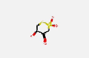 O=C1CSS(=O)(=O)CC1=O